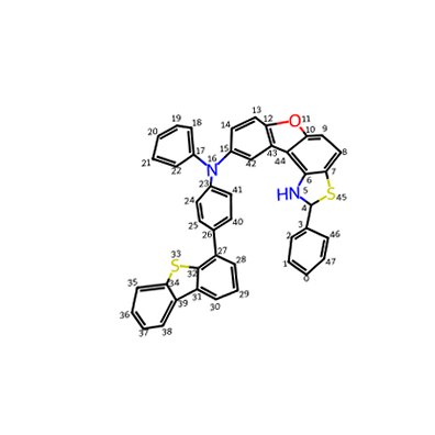 c1ccc(C2Nc3c(ccc4oc5ccc(N(c6ccccc6)c6ccc(-c7cccc8c7sc7ccccc78)cc6)cc5c34)S2)cc1